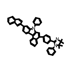 CC1(C)N=C(c2ccc(-c3cc4c(c5ccccc35)c3ccc(-c5ccc6ccccc6c5)cc3n4-c3ccccc3)cc2)N(c2ccccc2)C1(C)C